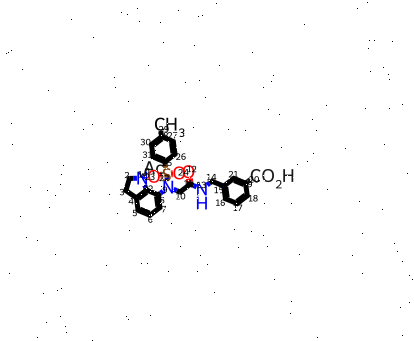 CC(=O)N1CCc2cccc(N(CC(=O)NCc3cccc(C(=O)O)c3)S(=O)(=O)c3ccc(C)cc3)c21